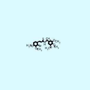 COc1cc(C(C)NC(=S)/C=C/c2ccc(OC)c(OC)c2Br)cc(OC)c1OC